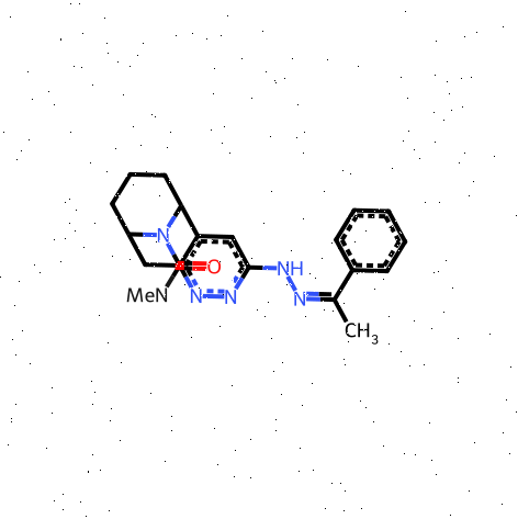 CNC(=O)N1C2CCCC1c1cc(NN=C(C)c3ccccc3)nnc1C2